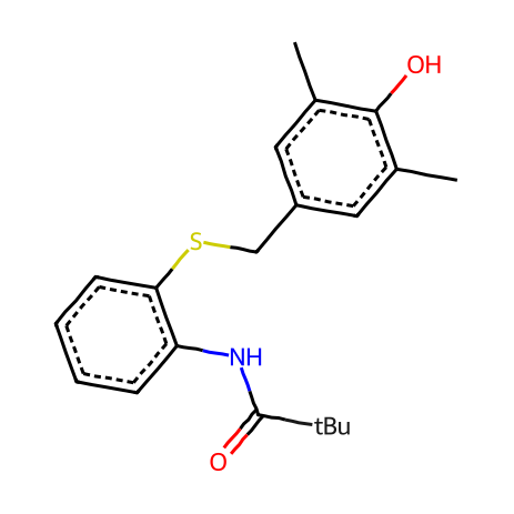 Cc1cc(CSc2ccccc2NC(=O)C(C)(C)C)cc(C)c1O